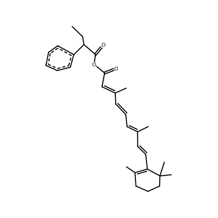 CCC(C(=O)OC(=O)/C=C(C)/C=C/C=C(C)/C=C/C1=C(C)CCCC1(C)C)c1ccccc1